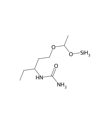 CCC(CCOC(C)O[SiH3])NC(N)=O